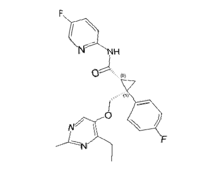 CCc1nc(C)ncc1OC[C@@]1(c2ccc(F)cc2)C[C@H]1C(=O)Nc1ccc(F)cn1